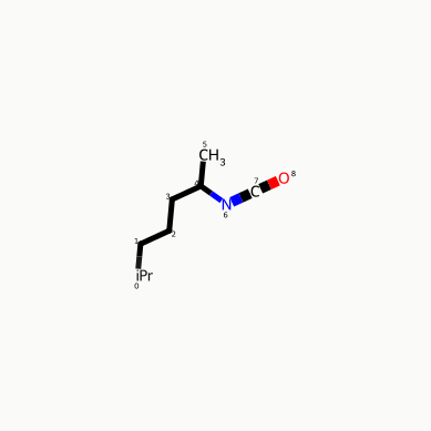 CC(C)CCCC(C)N=C=O